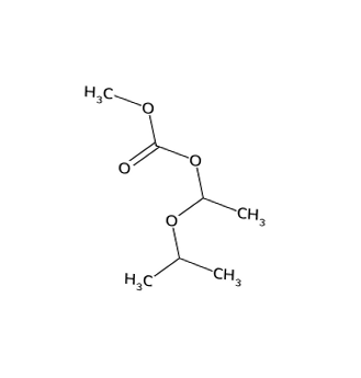 COC(=O)OC(C)OC(C)C